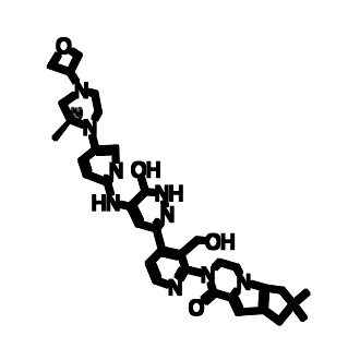 C[C@H]1CN(C2COC2)CCN1c1ccc(NC2=CC(c3ccnc(N4CCn5c(cc6c5CC(C)(C)C6)C4=O)c3CO)=NNC2O)nc1